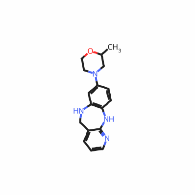 CC1CN(c2ccc3c(c2)NCc2cccnc2N3)CCO1